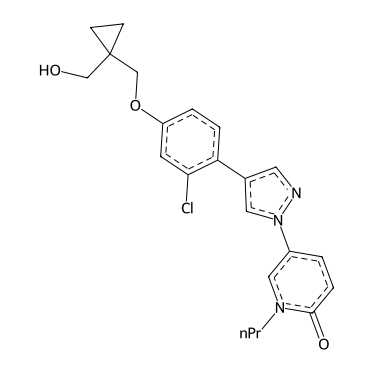 CCCn1cc(-n2cc(-c3ccc(OCC4(CO)CC4)cc3Cl)cn2)ccc1=O